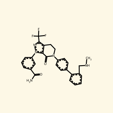 CNCc1ccccc1-c1ccc(N2CCc3c(C(F)(F)F)nn(-c4cccc(C(N)=O)c4)c3C2=O)cc1